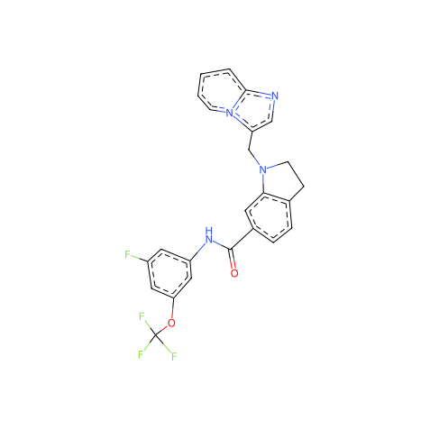 O=C(Nc1cc(F)cc(OC(F)(F)F)c1)c1ccc2c(c1)N(Cc1cnc3ccccn13)CC2